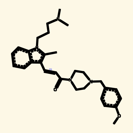 COc1ccc(CN2CCN(C(=O)/C=C/c3c(C)n(CCCN(C)C)c4ccccc34)CC2)cc1